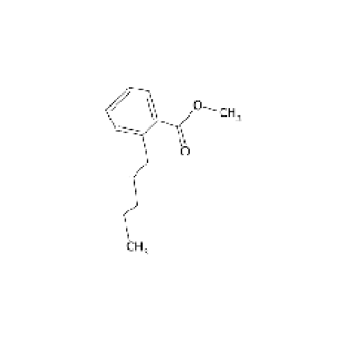 CCC[CH]Cc1ccccc1C(=O)OC